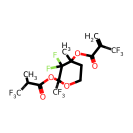 C=C(C(=O)OC1(C)CCOC(OC(=O)C(C)C(F)(F)F)(C(F)(F)F)C1(F)F)C(F)(F)F